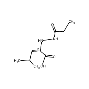 CCC(=O)NN[C@H](CC(C)C)C(=O)O